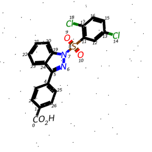 O=C(O)c1ccc(-c2nn(S(=O)(=O)c3cc(Cl)ccc3Cl)c3ccccc23)cc1